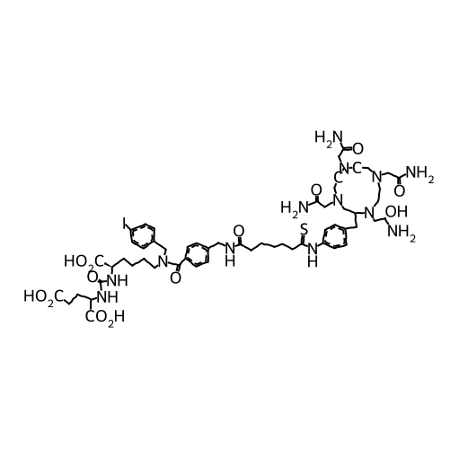 NC(=O)CN1CCN(CC(N)=O)CCN(CC(N)O)C(Cc2ccc(NC(=S)CCCCCC(=O)NCc3ccc(C(=O)N(CCCC[C@@H](NC(=O)NC(CCC(=O)O)C(=O)O)C(=O)O)Cc4ccc(I)cc4)cc3)cc2)CN(CC(N)=O)CC1